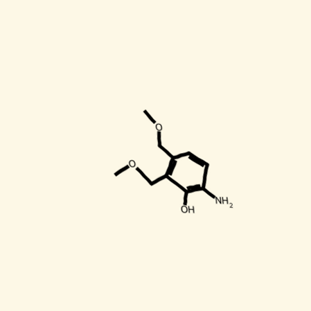 COCc1ccc(N)c(O)c1COC